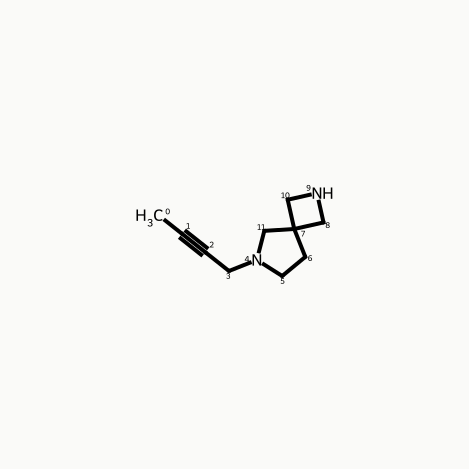 CC#CCN1CCC2(CNC2)C1